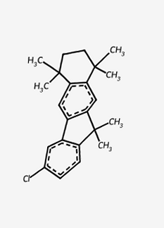 CC1(C)CCC(C)(C)c2cc3c(cc21)-c1cc(Cl)ccc1C3(C)C